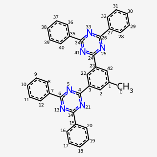 Cc1cc(-c2nc(-c3ccccc3)nc(-c3ccccc3)n2)cc(-c2nc(-c3ccccc3)nc(-c3ccccc3)n2)c1